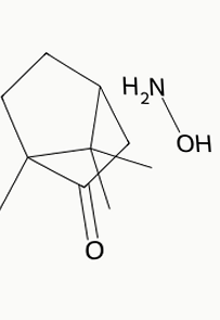 CC12CCC(CC1=O)C2(C)C.NO